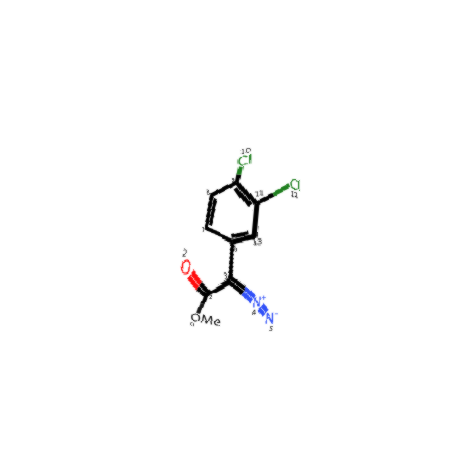 COC(=O)C(=[N+]=[N-])c1ccc(Cl)c(Cl)c1